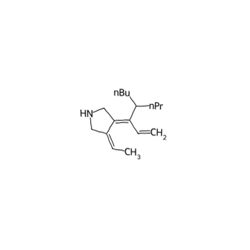 C=C/C(=C1/CNC/C1=C/C)C(CCC)CCCC